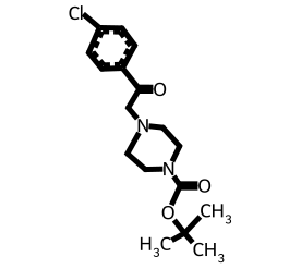 CC(C)(C)OC(=O)N1CCN(CC(=O)c2ccc(Cl)cc2)CC1